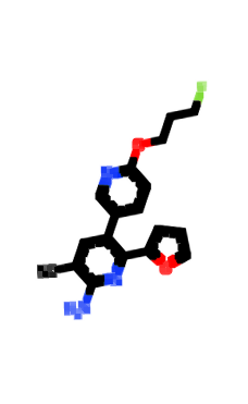 N#Cc1cc(-c2ccc(OCCCF)nc2)c(-c2ccco2)nc1N